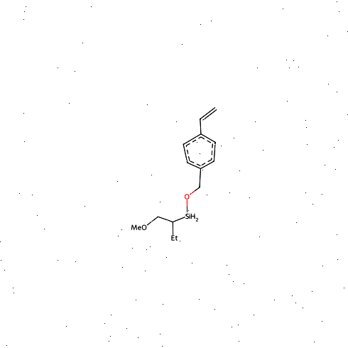 C=Cc1ccc(CO[SiH2]C(CC)COC)cc1